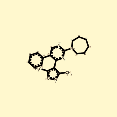 Cc1noc(C)c1-c1nc(N2CCCCCC2)ncc1-c1ccccc1